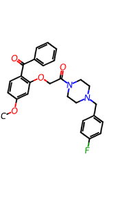 COc1ccc(C(=O)c2ccccc2)c(OCC(=O)N2CCN(Cc3ccc(F)cc3)CC2)c1